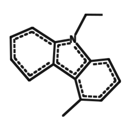 CCn1c2ccccc2c2c(C)cccc21